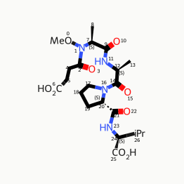 CON(C(=O)CCC(=O)O)[C@@H](C)C(=O)N[C@@H](C)C(=O)N1CCC[C@H]1C(=O)N[C@H](C(=O)O)C(C)C